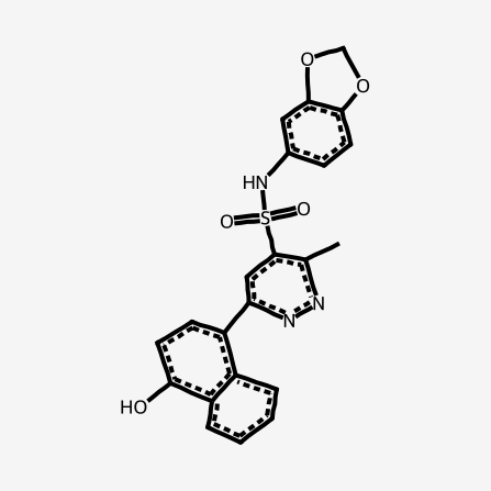 Cc1nnc(-c2ccc(O)c3ccccc23)cc1S(=O)(=O)Nc1ccc2c(c1)OCO2